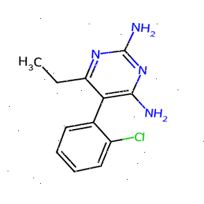 CCc1nc(N)nc(N)c1-c1ccccc1Cl